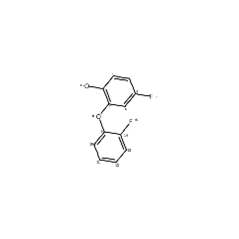 [O]c1ccc(F)cc1Oc1ccccc1F